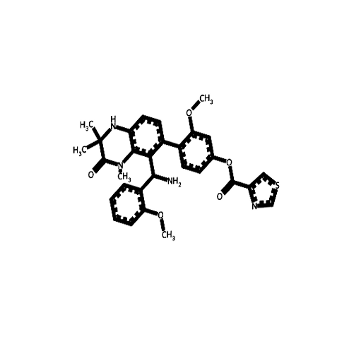 COc1cc(OC(=O)c2cscn2)ccc1-c1ccc2c(c1C(N)c1ccccc1OC)N(C)C(=O)C(C)(C)N2